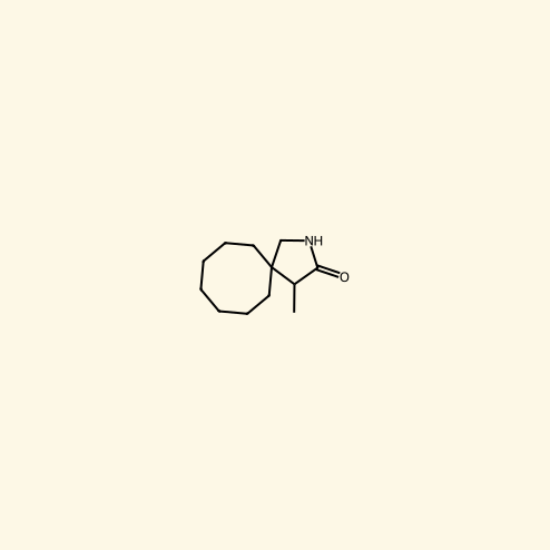 CC1C(=O)NCC12CCCCCCC2